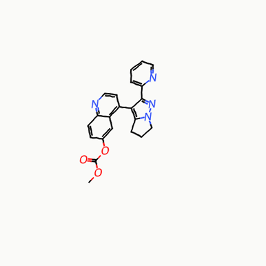 COC(=O)Oc1ccc2nccc(-c3c(-c4ccccn4)nn4c3CCC4)c2c1